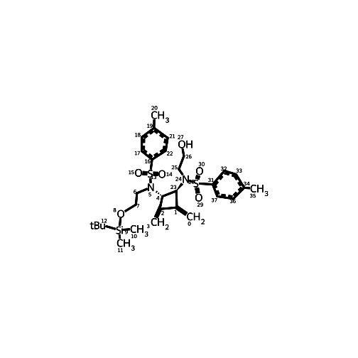 C=C1C(=C)[C@H](N(CCO[Si](C)(C)C(C)(C)C)S(=O)(=O)c2ccc(C)cc2)[C@H]1N(CCO)S(=O)(=O)c1ccc(C)cc1